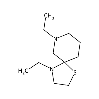 CCN1CCCC2(C1)SCCN2CC